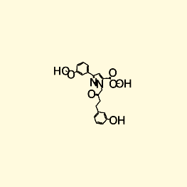 O=C(CCc1cccc(O)c1)Cn1nc(-c2cccc(OO)c2)cc1C(=O)OO